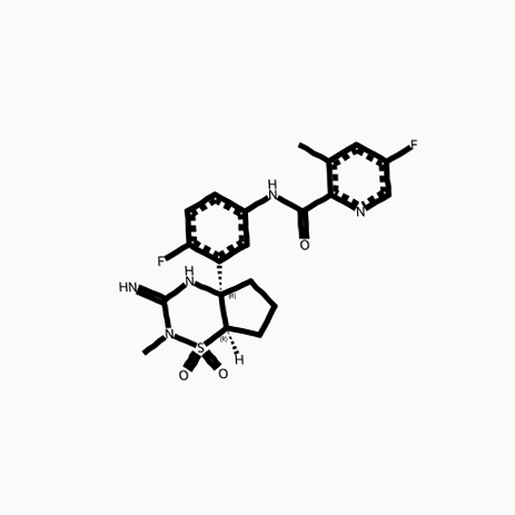 Cc1cc(F)cnc1C(=O)Nc1ccc(F)c([C@]23CCC[C@H]2S(=O)(=O)N(C)C(=N)N3)c1